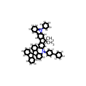 CC1(C)c2cc(N(c3ccc(-c4ccccc4)cc3)c3cccc4c3-c3ccccc3C43c4ccccc4-c4ccccc43)ccc2-c2cc3c4ccccc4n(-c4ccccc4)c3cc21